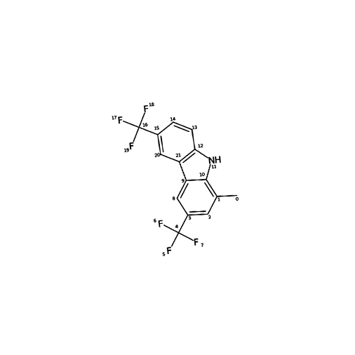 Cc1cc(C(F)(F)F)cc2c1[nH]c1ccc(C(F)(F)F)cc12